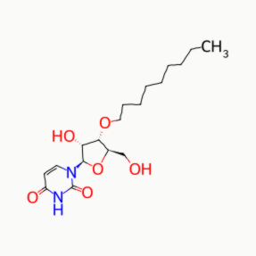 CCCCCCCCCO[C@H]1[C@@H](O)[C@H](n2ccc(=O)[nH]c2=O)O[C@@H]1CO